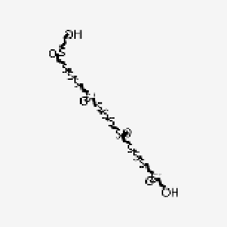 O=C(CCSCSCSCCC[S+]([O-])CCSCSCSCCSC(=O)CCSCSCSCCC[S+]([O-])CCCO)SCCCO